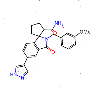 COc1cccc(CN2C(=O)c3cc(-c4cn[nH]c4)ccc3C23CCCC3C(N)=O)c1